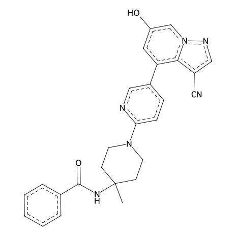 CC1(NC(=O)c2ccccc2)CCN(c2ccc(-c3cc(O)cn4ncc(C#N)c34)cn2)CC1